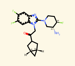 N[C@@H]1CN(c2nc3cc(F)c(F)cc3n2CC(=O)C2C[C@@H]3C[C@@H]3C2)CC[C@H]1F